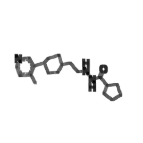 Cc1ccncc1C1CCC(CCNNC(=O)C2CCCC2)CC1